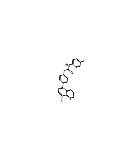 O=C(Cc1ccc(-c2ccc(F)c3ncccc23)cc1)Nc1ccc(F)cc1